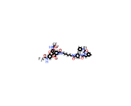 CCc1cccc(N(CC)C(=O)Cn2c(C(=O)N[C@H]3CC[C@H](C(=O)NCCCCCCNC(=O)c4ccc5c(c4)C(=O)OC54c5ccc(NC(=O)C(F)(F)F)cc5Oc5cc(NC(=O)C(F)(F)F)ccc54)CC3)cc3ccccc32)c1